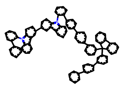 c1ccc(-c2ccc(-c3cccc(C4(c5cccc(-c6ccc(-c7ccc(-c8ccccc8-n8c9ccccc9c9cc(-c%10ccc%11c(c%10)c%10ccccc%10n%11-c%10ccccc%10-c%10ccccc%10)ccc98)cc7)cc6)c5)c5ccccc5-c5ccccc54)c3)cc2)cc1